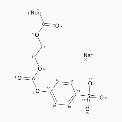 CCCCCCCCCC(=O)OCCOC(=O)Oc1ccc(S(=O)(=O)[O-])cc1.[Na+]